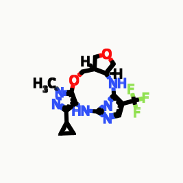 Cn1nc(C2CC2)c2c1OC[C@@H]1COC[C@H]1Nc1nc(ncc1C(F)(F)F)N2